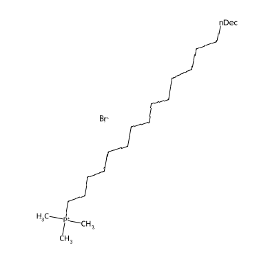 CCCCCCCCCCCCCCCCCCCCCCCC[P+](C)(C)C.[Br-]